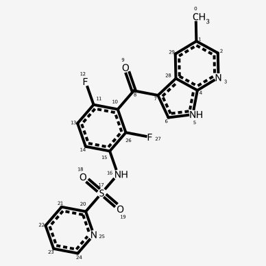 Cc1cnc2[nH]cc(C(=O)c3c(F)ccc(NS(=O)(=O)c4ccccn4)c3F)c2c1